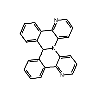 c1ccc2c(c1)-c1ncccc1N1c3cccnc3-c3ccccc3C21